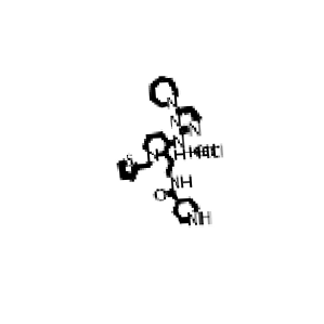 Cl.Cl.Cl.O=C(NCCC1C(Nc2nccc(N3CCCCCC3)n2)CCCN1Cc1cccs1)C1CCNCC1